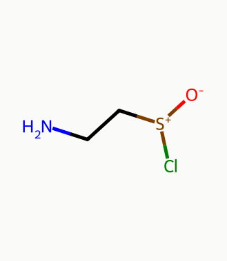 NCC[S+]([O-])Cl